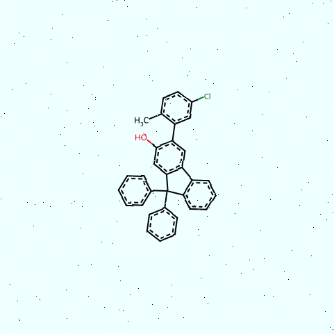 Cc1ccc(Cl)cc1-c1cc2c(cc1O)C(c1ccccc1)(c1ccccc1)c1ccccc1-2